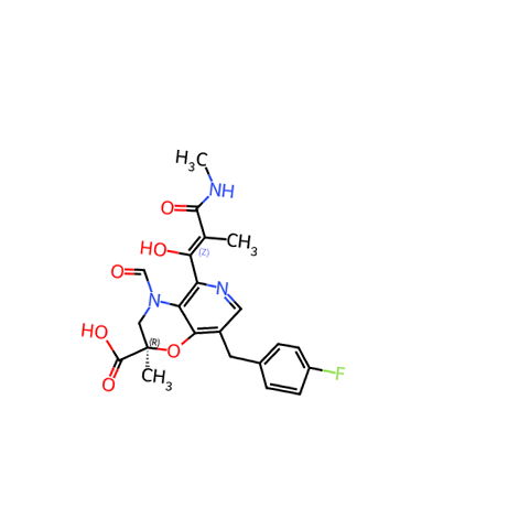 CNC(=O)/C(C)=C(\O)c1ncc(Cc2ccc(F)cc2)c2c1N(C=O)C[C@](C)(C(=O)O)O2